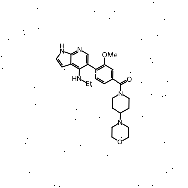 CCNc1c(-c2ccc(C(=O)N3CCC(N4CCOCC4)CC3)cc2OC)cnc2[nH]ccc12